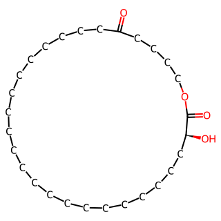 O=C1CCCCCCCCCCCCCCCCCCCCC[C@H](O)C(=O)OCCCC1